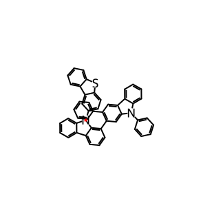 c1ccc(-c2cc3c4ccccc4n(-c4ccccc4)c3cc2-c2cccc3c4ccccc4n(-c4ccc5sc6ccccc6c5c4)c23)cc1